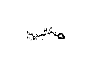 CC(COCCCO[Si](C)(C)C(C)(C)C)OCc1ccccc1